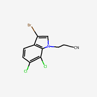 N#CCCn1cc(Br)c2ccc(Cl)c(Cl)c21